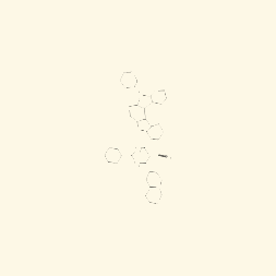 N#Cc1c(-c2ccc3ccccc3c2)nc(-c2ccccc2)nc1-c1cccc2c1sc1ccc3c(c4ccccc4n3-c3ccccc3)c12